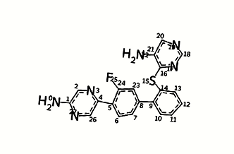 Nc1cnc(-c2ccc(-c3ccccc3Sc3ncncc3N)cc2F)cn1